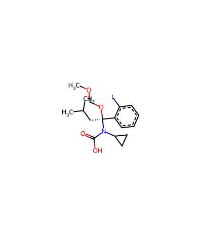 COCO[C@@](CC(C)C)(c1ccccc1I)N(C(=O)O)C1CC1